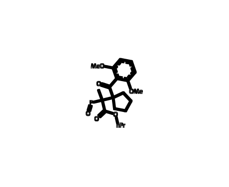 CCCOC(=O)C(C)(P=O)C1(C(=O)c2c(OC)cccc2OC)CCCC1